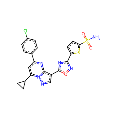 NS(=O)(=O)c1ccc(-c2noc(-c3cnn4c(C5CC5)cc(-c5ccc(Cl)cc5)nc34)n2)s1